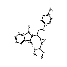 COC(CO)C1OC1C(CSc1ccc(C)cc1)N1C(=O)c2ccccc2C1=O